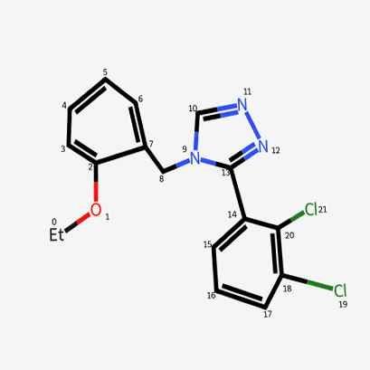 CCOc1ccccc1Cn1cnnc1-c1cccc(Cl)c1Cl